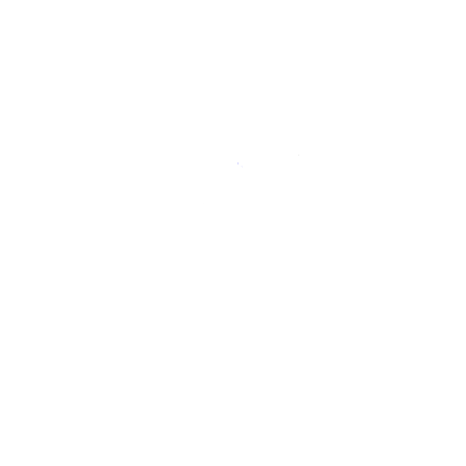 CCN1CCC(O)(c2cccc(OC)c2)CC1